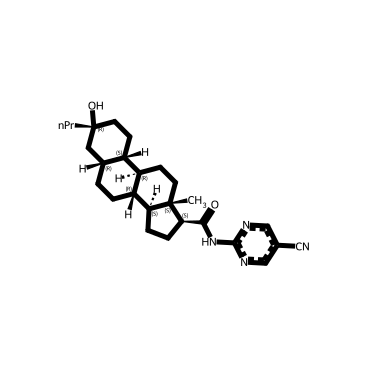 CCC[C@@]1(O)CC[C@H]2[C@H](CC[C@@H]3[C@@H]2CC[C@]2(C)[C@@H](C(=O)Nc4ncc(C#N)cn4)CC[C@@H]32)C1